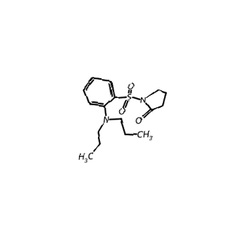 CCCN(CCC)c1ccccc1S(=O)(=O)N1CCCC1=O